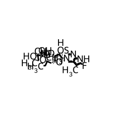 CCC(C)(C[C@H]1O[C@@H](n2cc3c(C)c(F)[nH]c3nc2=S)[C@@H](O)C1O)OP(=O)(O)C(C)(O)CC